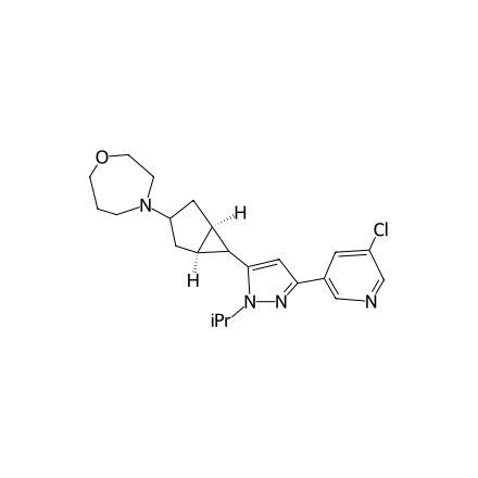 CC(C)n1nc(-c2cncc(Cl)c2)cc1C1[C@H]2CC(N3CCCOCC3)C[C@@H]12